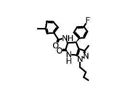 CCCCn1nc(C)c2c1NC(=O)[C@@H](NC(=O)c1cccc(C)c1)[C@H]2c1ccc(F)cc1